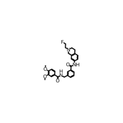 COc1ccc(C(=O)NCc2cccc(C(=O)Nc3ccc4c(c3)CN(CCF)CC4)c2)cc1OC